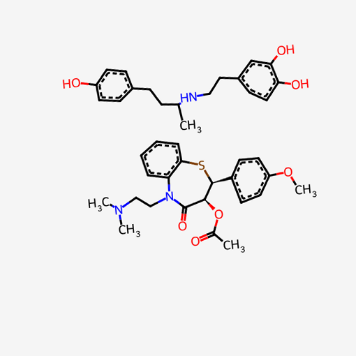 CC(CCc1ccc(O)cc1)NCCc1ccc(O)c(O)c1.COc1ccc([C@@H]2Sc3ccccc3N(CCN(C)C)C(=O)[C@@H]2OC(C)=O)cc1